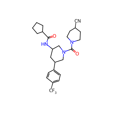 N#CC1CCN(C(=O)N2CC(NC(=O)C3CCCC3)CC(c3ccc(C(F)(F)F)cc3)C2)CC1